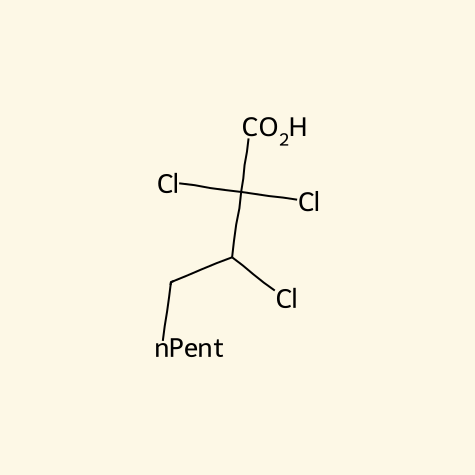 CCCCCCC(Cl)C(Cl)(Cl)C(=O)O